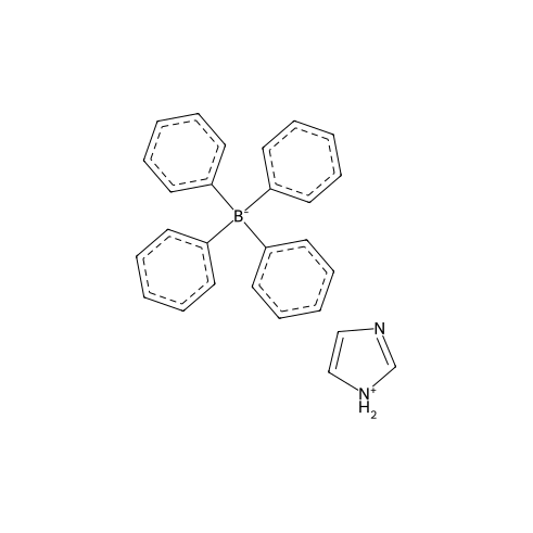 C1=C[NH2+]C=N1.c1ccc([B-](c2ccccc2)(c2ccccc2)c2ccccc2)cc1